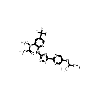 CC(=O)N(C)c1cc(C(F)(F)F)cnc1Nc1nc(-c2ncc(OC(C)C)cn2)ns1